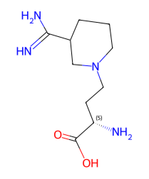 N=C(N)C1CCCN(CC[C@H](N)C(=O)O)C1